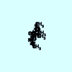 CCc1cccc(-c2cc(=O)n(CC(=O)N(F)C3CC(C)C3)nc2C(C)C)c1